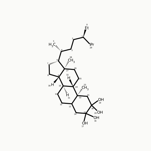 CC[C@H](CC[C@@H](C)[C@H]1CC[C@H]2[C@@H]3CCC4CC(O)(O)C(O)(O)C[C@]4(C)[C@H]3CC[C@]12C)C(C)C